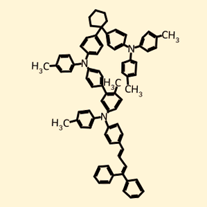 Cc1ccc(N(c2ccc(C)cc2)c2ccc(C3(c4ccc(N(c5ccc(C)cc5)c5ccc(-c6cc(N(c7ccc(C)cc7)c7ccc(/C=C/C=C(c8ccccc8)c8ccccc8)cc7)ccc6C)cc5)cc4)CCCCC3)cc2)cc1